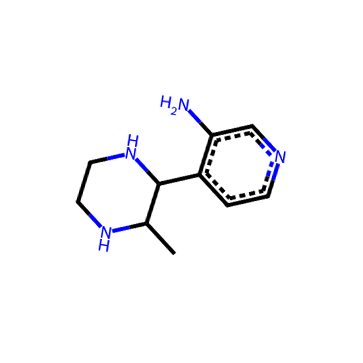 CC1NCCNC1c1ccncc1N